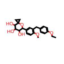 CCOc1ccc(Cc2cc(C3OC4(CC4)C(O)C(O)C3O)ccc2OC)cc1